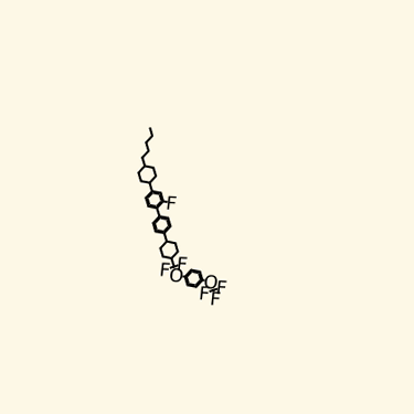 CCCCCC1CCC(c2ccc(-c3ccc(C4CCC(C(F)(F)Oc5ccc(OC(F)(F)F)cc5)CC4)cc3)c(F)c2)CC1